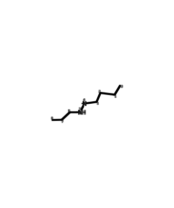 CCCC[N]NCCC